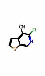 N#Cc1c(Cl)ncc2sccc12